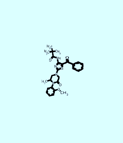 COc1ccccc1N1C(=O)CN(c2nc(NC(=O)C(C)(C)C)c(C(=O)c3ccccc3)s2)CC1C